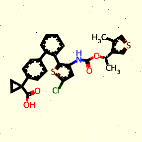 Cc1cscc1C(C)OC(=O)Nc1cc(Cl)sc1-c1ccccc1-c1ccc(C2(C(=O)O)CC2)cc1